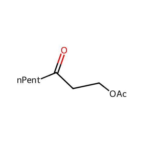 CCCCCC(=O)CCOC(C)=O